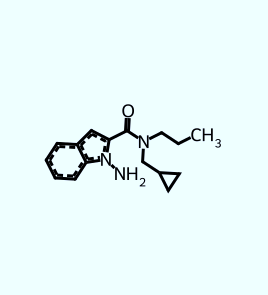 CCCN(CC1CC1)C(=O)c1cc2ccccc2n1N